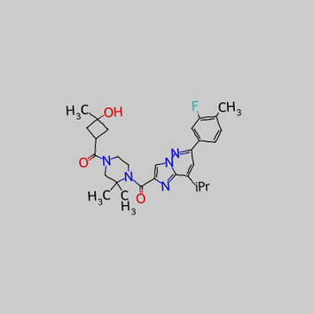 Cc1ccc(-c2cc(C(C)C)c3nc(C(=O)N4CCN(C(=O)C5CC(C)(O)C5)CC4(C)C)cn3n2)cc1F